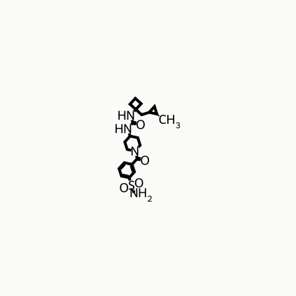 C[C@H]1CC1CC1(NC(=O)NC2CCN(C(=O)c3cccc(S(N)(=O)=O)c3)CC2)CCC1